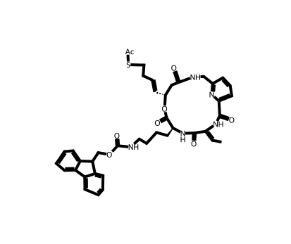 C/C=C1\NC(=O)c2cccc(n2)CNC(=O)C[C@@H](/C=C/CCSC(C)=O)OC(=O)[C@H](CCCCNC(=O)OCC2c3ccccc3-c3ccccc32)NC1=O